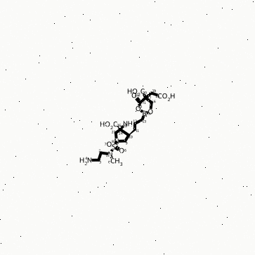 CN(CCN)S(=O)(=O)N1C[C@H](CCCB2OCC(CC(=O)O)(C(=O)O)C(=O)O2)[C@](N)(C(=O)O)C1